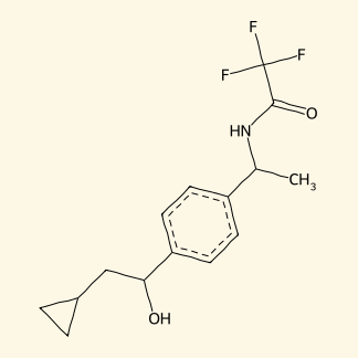 CC(NC(=O)C(F)(F)F)c1ccc(C(O)CC2CC2)cc1